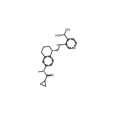 CN(C(=O)C1CC1)c1ccc2c(c1)CCC[C@H]2CNc1cnccc1C(O)O